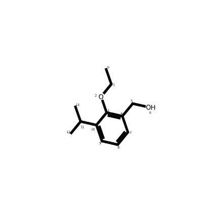 CCOc1c(CO)cccc1[C](C)C